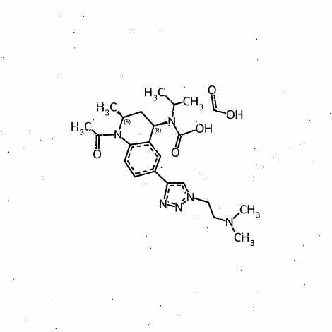 CC(=O)N1c2ccc(-c3cn(CCN(C)C)nn3)cc2[C@H](N(C(=O)O)C(C)C)C[C@@H]1C.O=CO